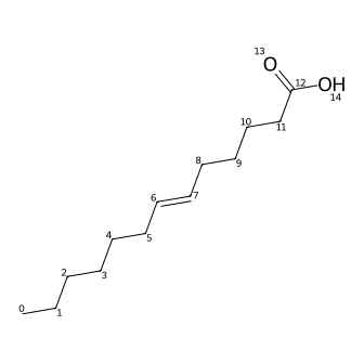 CCCCCC/C=C/CCCCC(=O)O